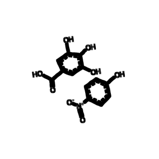 O=C(O)c1cc(O)c(O)c(O)c1.O=[N+]([O-])c1ccc(O)cc1